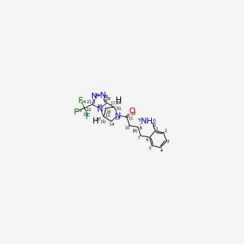 Cc1ccccc1C[C@@H](N)CC(=O)N1C[C@@H]2C[C@H]1c1nnc(C(F)(F)F)n12